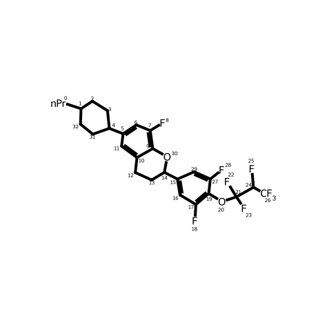 CCCC1CCC(c2cc(F)c3c(c2)CCC(c2cc(F)c(OC(F)(F)C(F)C(F)(F)F)c(F)c2)O3)CC1